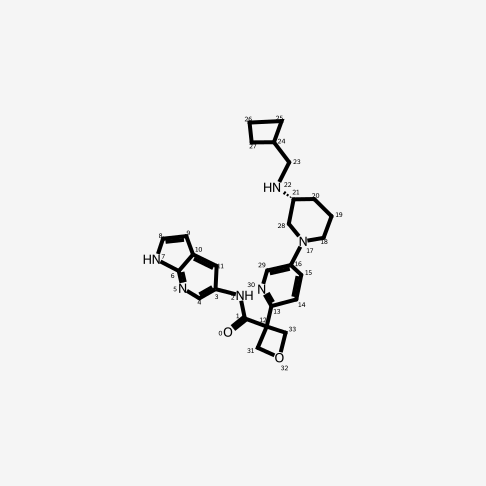 O=C(Nc1cnc2[nH]ccc2c1)C1(c2ccc(N3CCC[C@@H](NCC4CCC4)C3)cn2)COC1